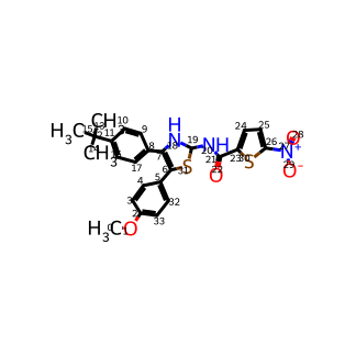 COc1ccc(C2=C(c3ccc(C(C)(C)C)cc3)NC(NC(=O)c3ccc([N+](=O)[O-])s3)S2)cc1